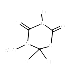 CNN1C(=O)N(C(C)C)C(=O)NC1(C)S